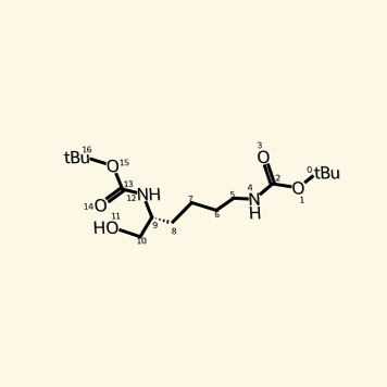 CC(C)(C)OC(=O)NCCCC[C@H](CO)NC(=O)OC(C)(C)C